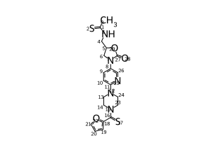 CC(=S)NCC1CN(c2ccc(N3CCN(C(=S)c4ccco4)CC3)nc2)C(=O)O1